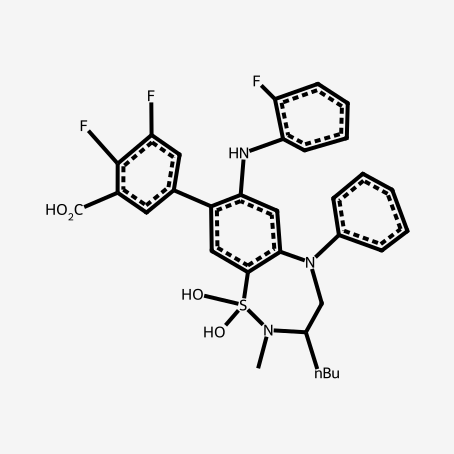 CCCCC1CN(c2ccccc2)c2cc(Nc3ccccc3F)c(-c3cc(F)c(F)c(C(=O)O)c3)cc2S(O)(O)N1C